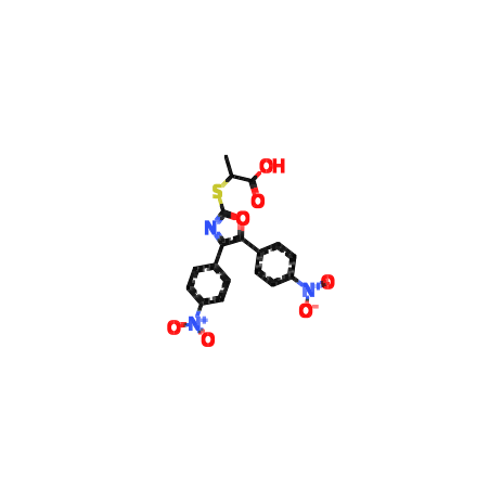 CC(Sc1nc(-c2ccc([N+](=O)[O-])cc2)c(-c2ccc([N+](=O)[O-])cc2)o1)C(=O)O